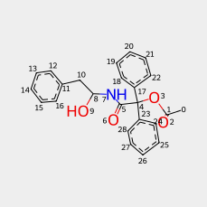 CC(=O)OC(C(=O)NC(O)Cc1ccccc1)(c1ccccc1)c1ccccc1